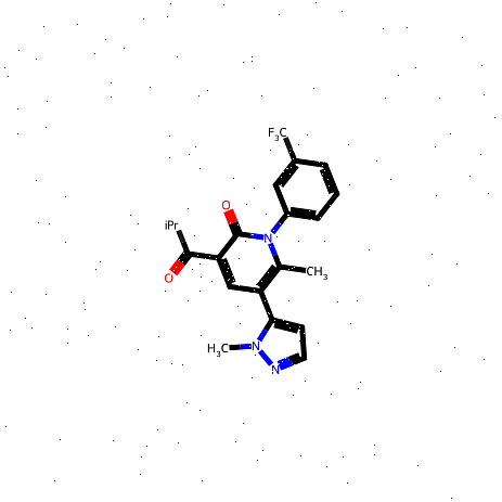 Cc1c(-c2ccnn2C)cc(C(=O)C(C)C)c(=O)n1-c1cccc(C(F)(F)F)c1